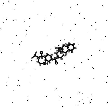 CC(C)N1CCNc2cc(C(=O)N3CC[C@]4(Cc5ccccc5CN4)[C@H](C)C3)ccc2C1=O